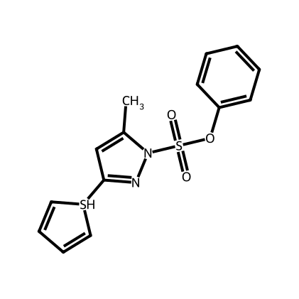 Cc1cc([SH]2C=CC=C2)nn1S(=O)(=O)Oc1ccccc1